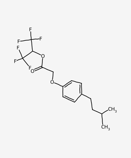 CC(C)CCc1ccc(OCC(=O)OC(C(F)(F)F)C(F)(F)F)cc1